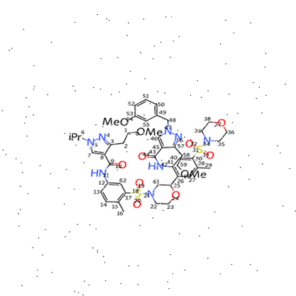 COCCc1nn(C(C)C)cc1C(=O)Nc1ccc(C)c(S(=O)(=O)N2CCOC(c3cc(C)c(S(=O)(=O)N4CCOCC4)cc3NC(=O)c3cn(Cc4cccc(OC)c4)nc3CCOC)C2)c1